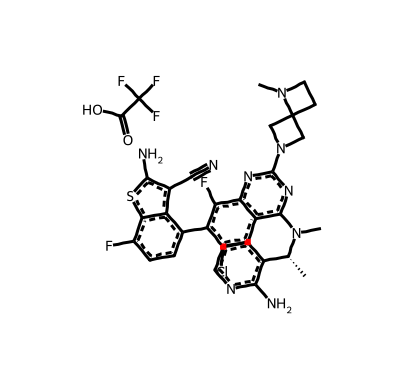 C[C@H](c1cccnc1N)N(C)c1nc(N2CC3(CCN3C)C2)nc2c(F)c(-c3ccc(F)c4sc(N)c(C#N)c34)c(Cl)cc12.O=C(O)C(F)(F)F